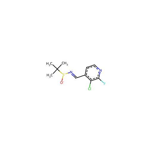 CC(C)(C)[S+]([O-])/N=C/c1ccnc(F)c1Cl